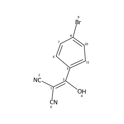 N#CC(C#N)=C(O)c1ccc(Br)cc1